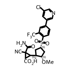 CO[C@H]1C[C@@H](S(=O)(=O)c2ccc(-c3cncc(Cl)c3)cc2C(F)(F)F)C[C@]1(C(=O)O)C1CC1(C#N)C(N)=O